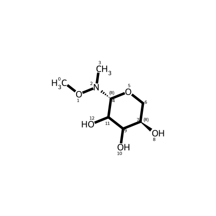 CON(C)[C@@H]1OC[C@@H](O)C(O)C1O